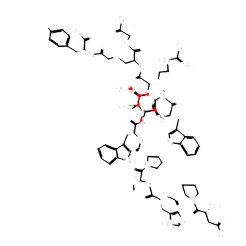 CCCC[C@@H](C(=O)N[C@@H](CCCNC(=N)N)C(=O)NC(CSCC(=O)N[C@@H](Cc1ccc(O)cc1)C(=O)NC)C(=O)NCC(N)=O)N(C)C(=O)[C@H](CCSC)N(C)C(=O)[C@H](Cc1c[nH]c2ccccc12)NC(=O)[C@H](CO)NC(=O)[C@H](Cc1c[nH]c2ccccc12)NC(=O)[C@@H]1CCCN1C(=O)[C@H](CO)NC(=O)[C@H](Cc1cnc[nH]1)NC(=O)[C@@H]1CCCN1C(=O)[C@@H](N)CC(N)=O